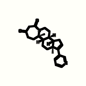 C[C@]12CC[C@H]3[C@@H](CCN4C(=O)CC(=O)CC[C@]34C)[C@@H]1CC=C2c1cccnc1